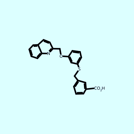 O=C(O)c1cccc(CSc2cccc(OCc3ccc4ccccc4n3)c2)c1